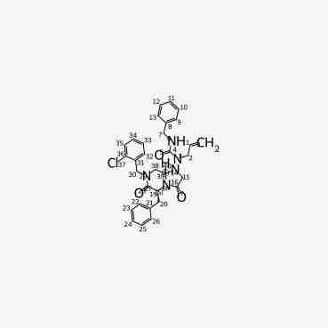 C=CCN(C(=O)NCc1ccccc1)N1CC(=O)N2[C@@H](Cc3ccccc3)C(=O)N(Cc3ccccc3Cl)C[C@@H]21